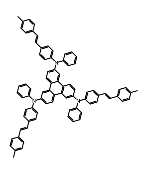 Cc1ccc(/C=C/c2ccc(N(c3ccccc3)c3ccc4c(c3)c3ccc(N(c5ccccc5)c5ccc(/C=C/c6ccc(C)cc6)cc5)cc3c3ccc(N(c5ccccc5)c5ccc(/C=C/c6ccc(C)cc6)cc5)cc43)cc2)cc1